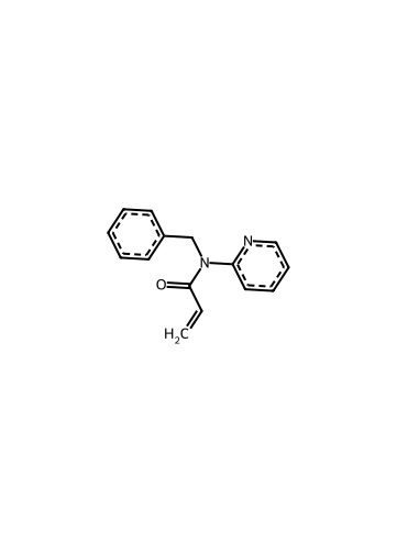 C=CC(=O)N(Cc1ccccc1)c1ccccn1